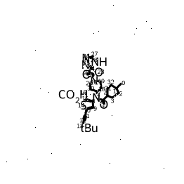 CC1CCC(C(=O)N(c2cc(C#CC(C)(C)C)sc2C(=O)O)C2CCN(S(=O)(=O)c3nnc[nH]3)CC2)CC1